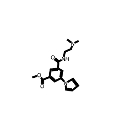 COC(=O)c1cc(C(=O)NCCN(C)C)cc(-n2cccc2)c1